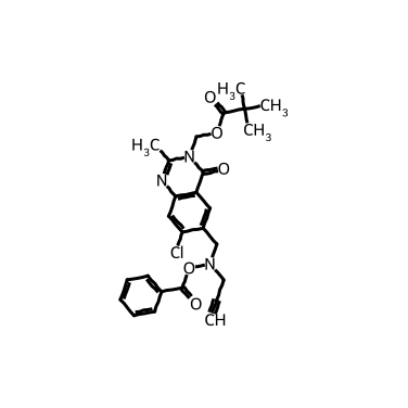 C#CCN(Cc1cc2c(=O)n(COC(=O)C(C)(C)C)c(C)nc2cc1Cl)OC(=O)c1ccccc1